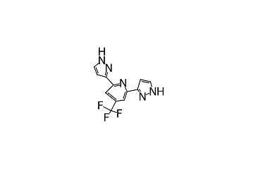 FC(F)(F)c1cc(-c2cc[nH]n2)nc(-c2cc[nH]n2)c1